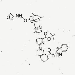 Cc1c(-c2ccc(N3CCc4cccc(C(=O)Nc5nc6ccccc6s5)c4C3)nc2C(=O)OC(C)(C)C)cnn1CC12CC3(C)CC(C)(C1)CC(OCCNC1COC1)(C3)C2